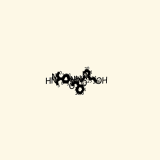 Cc1n[nH]c(C)c1-c1ccc(NC(=O)[C@@H](NC(=O)N2CCCC2CCCO)C2CCCCC2)cc1